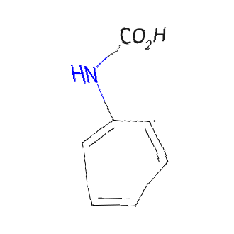 O=C(O)Nc1[c]cccc1